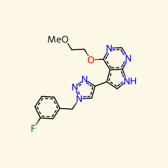 COCCOc1ncnc2[nH]cc(-c3cn(Cc4cccc(F)c4)nn3)c12